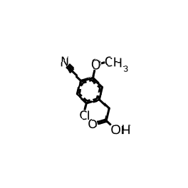 COc1cc(CC(=O)O)c(Cl)cc1C#N